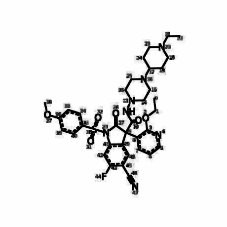 CCOc1ncccc1C1(C(=O)NN2CCN(C3CCN(CC)CC3)CC2)C(=O)N(S(=O)(=O)c2ccc(OC)cc2)c2cc(F)c(C#N)cc21